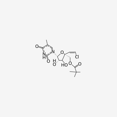 Cc1cn([C@@H]2O[C@](/C=C\Cl)(COC(=O)C(C)(C)C)C(O)[C@@H]2O)c(=O)[nH]c1=O